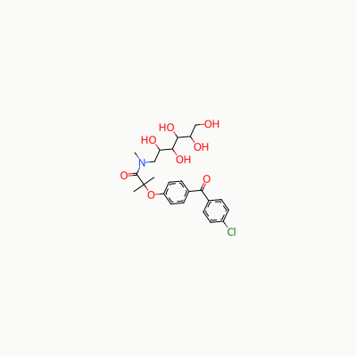 CN(CC(O)C(O)C(O)C(O)CO)C(=O)C(C)(C)Oc1ccc(C(=O)c2ccc(Cl)cc2)cc1